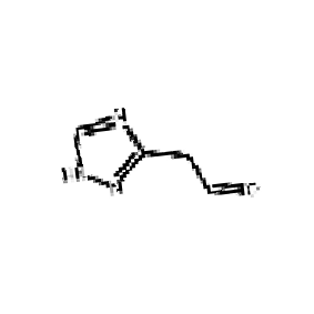 O=CCc1nc[nH]n1